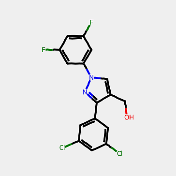 OCc1cn(-c2cc(F)cc(F)c2)nc1-c1cc(Cl)cc(Cl)c1